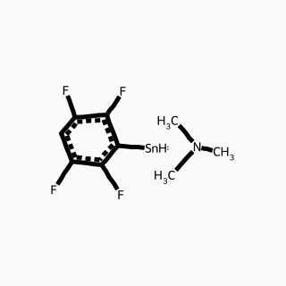 CN(C)C.Fc1cc(F)c(F)[c]([SnH])c1F